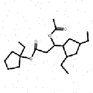 CCC1CC(CC)C(C(CC(=O)OC2(CC)CCCC2)OC(C)=O)C1